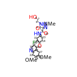 CN/N=C(\C(=O)NCCO)C(=O)Nc1ccc(Oc2ccnc3cc(OC)c(OC)cc23)c(F)c1